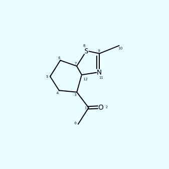 CC(=O)C1CCCC2SC(C)=NC21